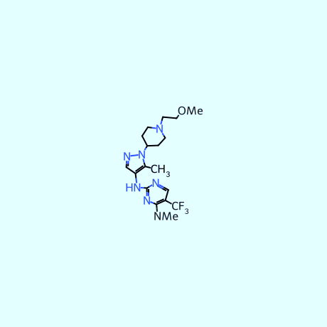 CNc1nc(Nc2cnn(C3CCN(CCOC)CC3)c2C)ncc1C(F)(F)F